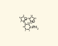 Pc1cccc(-c2ccco2)c1-c1ccco1